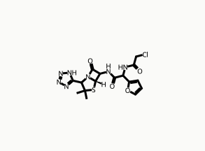 CC1(C)S[C@H]2C(NC(=O)C(NC(=O)CCl)c3ccco3)C(=O)N2C1c1nnn[nH]1